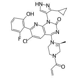 C=CC(=O)N1CCN(c2nc(=O)n(-c3c[nH]nc3C3CC3)c3nc(-c4c(O)cccc4F)c(Cl)cc23)[C@@H](C)C1